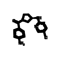 Nc1ccc(C(=O)N2CC[C@@H](Nc3ncc(Cl)cn3)C2)cc1